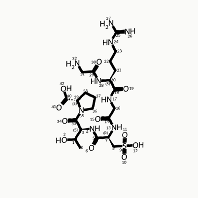 CC(O)[C@H](NC(=O)[C@H](CS(=O)(=O)O)NC(=O)CNC(=O)[C@H](CCCNC(=N)N)NC(=O)CN)C(=O)N1CCC[C@H]1C(=O)O